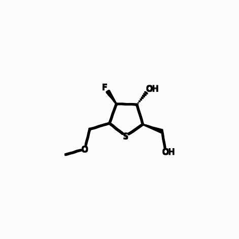 COCC1S[C@H](CO)[C@@H](O)[C@@H]1F